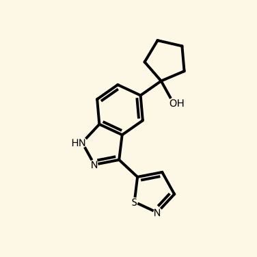 OC1(c2ccc3[nH]nc(-c4ccns4)c3c2)CCCC1